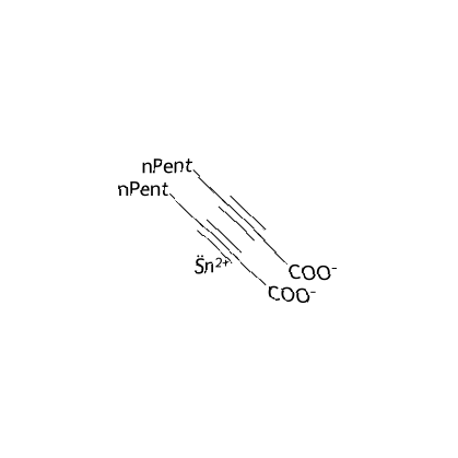 CCCCCC#CC(=O)[O-].CCCCCC#CC(=O)[O-].[Sn+2]